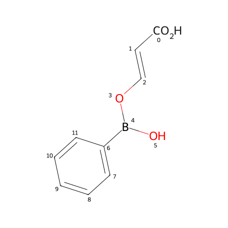 O=C(O)C=COB(O)c1ccccc1